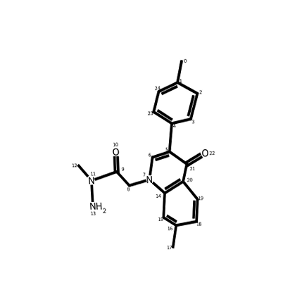 Cc1ccc(-c2cn(CC(=O)N(C)N)c3cc(C)ccc3c2=O)cc1